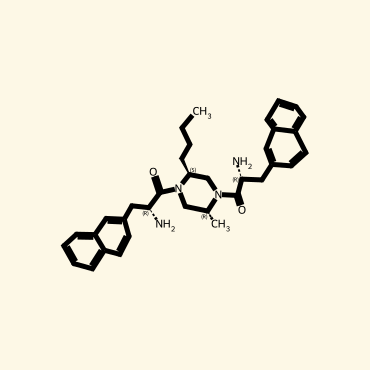 CCCC[C@H]1CN(C(=O)[C@H](N)Cc2ccc3ccccc3c2)[C@H](C)CN1C(=O)[C@H](N)Cc1ccc2ccccc2c1